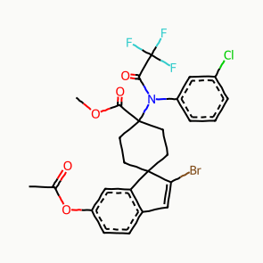 COC(=O)C1(N(C(=O)C(F)(F)F)c2cccc(Cl)c2)CCC2(CC1)C(Br)=Cc1ccc(OC(C)=O)cc12